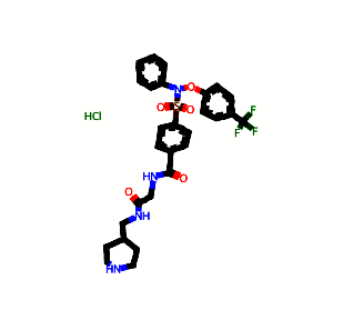 Cl.O=C(CNC(=O)c1ccc(S(=O)(=O)N(Oc2ccc(C(F)(F)F)cc2)c2ccccc2)cc1)NCC1CCNCC1